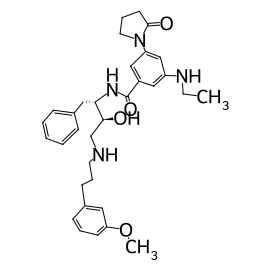 CCNc1cc(C(=O)N[C@@H](Cc2ccccc2)[C@@H](O)CNCCCc2cccc(OC)c2)cc(N2CCCC2=O)c1